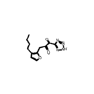 CCCCc1ccoc1CC(=O)C(=O)c1nn[nH]n1